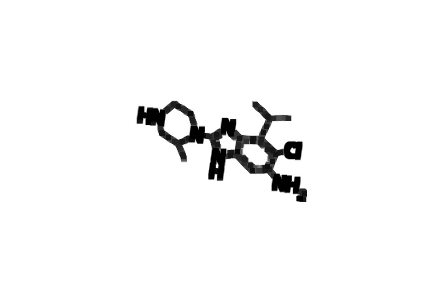 CC(C)c1c(Cl)c(N)cc2[nH]c(N3CCNCC3C)nc12